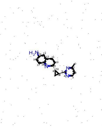 Cc1ccnc([C@H]2C[C@@H]2c2ccc3cc(N)ccc3n2)n1